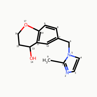 Cc1nccn1Cc1ccc2c(c1)C(O)CCO2